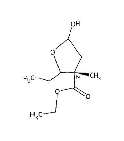 CCOC(=O)[C@@]1(C)CC(O)OC1CC